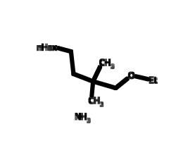 CCCCCCCCC(C)(C)COCC.N